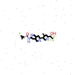 Cc1cc([C@H](O)C(F)(F)F)ncc1-c1cc2cnc(NC(=O)[C@@H]3C[C@@H]3F)cc2cn1